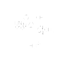 CCCCc1nc(C)nc(CCCSC)c1Cc1ccc(-c2ccccc2-c2noc(=O)[nH]2)cc1